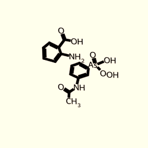 CC(=O)Nc1cccc([As](=O)(O)OO)c1.Nc1ccccc1C(=O)O